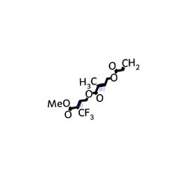 C=CC(=O)OC/C=C(\C)C(=O)OC/C=C(/C(=O)OC)C(F)(F)F